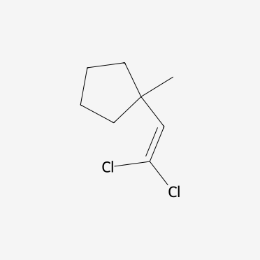 CC1(C=C(Cl)Cl)CCCC1